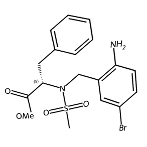 COC(=O)[C@H](Cc1ccccc1)N(Cc1cc(Br)ccc1N)S(C)(=O)=O